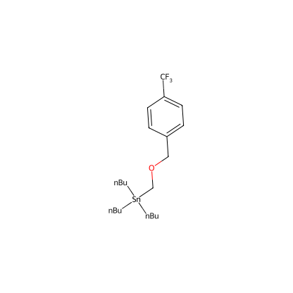 CCC[CH2][Sn]([CH2]CCC)([CH2]CCC)[CH2]OCc1ccc(C(F)(F)F)cc1